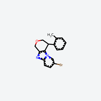 Cc1ccccc1C1COCc2nc3ccc(Br)cn3c21